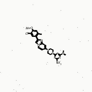 COc1cc(C)c(-c2cn3ccc(N4CCN(c5nc(N)nc(N(C)C)n5)CC4)cc3n2)cc1Cl